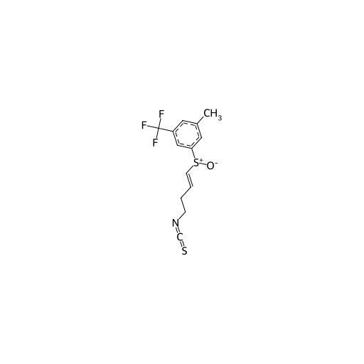 Cc1cc([S+]([O-])/C=C/CCN=C=S)cc(C(F)(F)F)c1